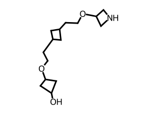 OC1CC(OCCC2CC(CCOC3CNC3)C2)C1